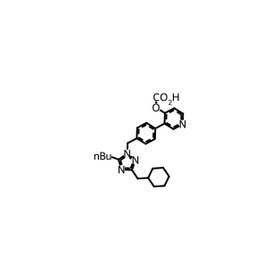 CCCCc1nc(CC2CCCCC2)nn1Cc1ccc(-c2cnccc2OC(=O)O)cc1